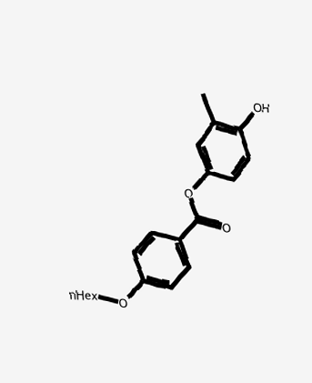 CCCCCCOc1ccc(C(=O)Oc2ccc(O)c(C)c2)cc1